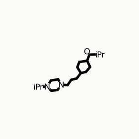 CC(C)C(=O)C1CCC(CCCN2CCN(C(C)C)CC2)CC1